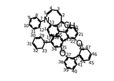 C=C1/C=C\C=C/N(c2ccccc2)c2cccc(-c3cccc4c3-c3ccc(C5C=CC=CC5)cc3Oc3ccccc3C3=CC=CCC3O4)c21